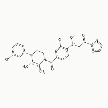 C[C@H]1[C@H](C)N(c2cccc(Cl)c2)CCN1C(=O)c1ccc([S+]([O-])CC(=O)c2ncco2)c(Cl)c1